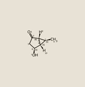 C[C@@H]1[C@H]2C(=O)C[C@H](O)[C@@H]12